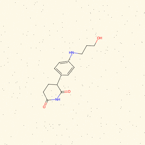 O=C1CCC(c2ccc(NCCCO)cc2)C(=O)N1